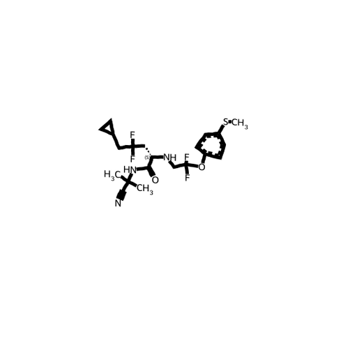 CSc1ccc(OC(F)(F)CN[C@@H](CC(F)(F)CC2CC2)C(=O)NC(C)(C)C#N)cc1